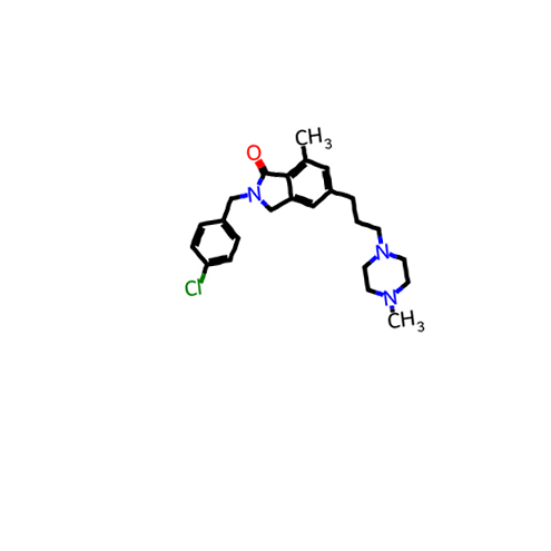 Cc1cc(CCCN2CCN(C)CC2)cc2c1C(=O)N(Cc1ccc(Cl)cc1)C2